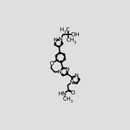 CNC(=O)Cn1ccnc1-c1cn2c(n1)-c1ccc(-c3cnn(CC(C)(C)O)c3)cc1OCC2